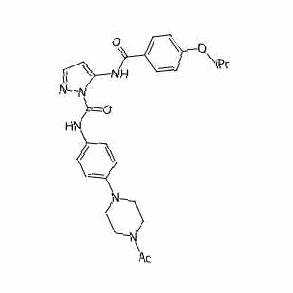 CC(=O)N1CCN(c2ccc(NC(=O)n3nccc3NC(=O)c3ccc(OC(C)C)cc3)cc2)CC1